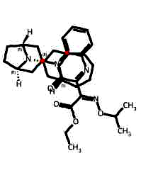 CCOC(=O)C(=NOC(C)C)c1nc2ccccc2n(C2C[C@H]3CC[C@H](C2)N3[C@@H]2CC3CCCC[C@@H](C3)C2)c1=O